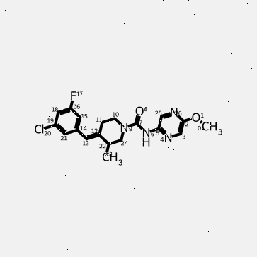 COc1cnc(NC(=O)N2CCC(=Cc3cc(F)cc(Cl)c3)C(C)C2)cn1